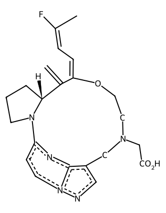 C=C1/C(=C\C=C(/C)F)OCCN(CC(=O)O)Cc2cnn3ccc(nc23)N2CCC[C@H]12